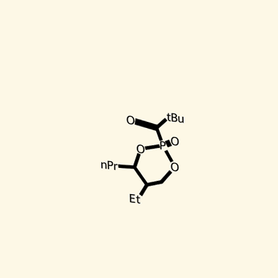 CCCC1OP(=O)(C(=O)C(C)(C)C)OCC1CC